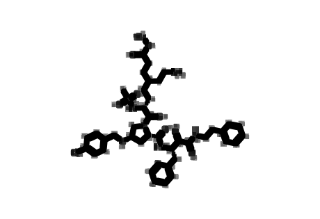 CC(C)(C)OC(=O)CCC(CCN)CC[C@@H](NS(C)(=O)=O)C(=O)N1C[C@H](OCc2ccc(Cl)cc2)C[C@H]1C(=O)N[C@@H](Cc1ccccc1)C(=O)C(=O)NCCc1ccccc1